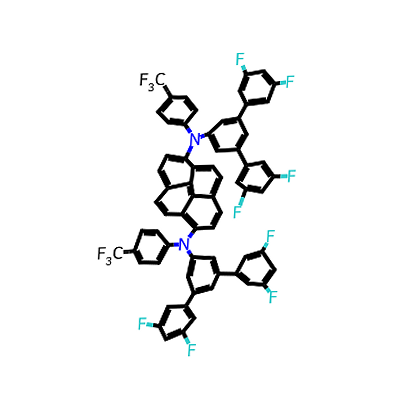 Fc1cc(F)cc(-c2cc(-c3cc(F)cc(F)c3)cc(N(c3ccc(C(F)(F)F)cc3)c3ccc4ccc5c(N(c6ccc(C(F)(F)F)cc6)c6cc(-c7cc(F)cc(F)c7)cc(-c7cc(F)cc(F)c7)c6)ccc6ccc3c4c65)c2)c1